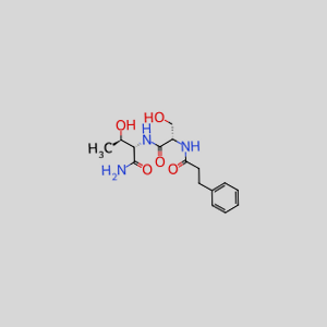 C[C@@H](O)[C@H](NC(=O)[C@H](CO)NC(=O)CCc1ccccc1)C(N)=O